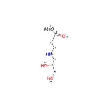 COC(=O)CCNCC(O)CO